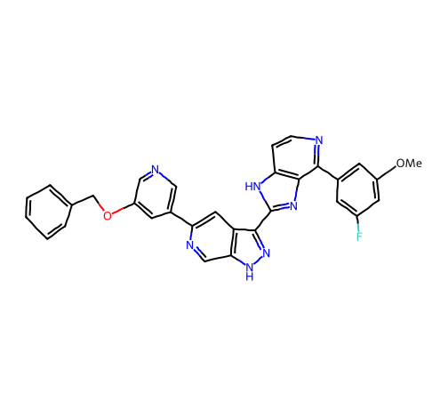 COc1cc(F)cc(-c2nccc3[nH]c(-c4n[nH]c5cnc(-c6cncc(OCc7ccccc7)c6)cc45)nc23)c1